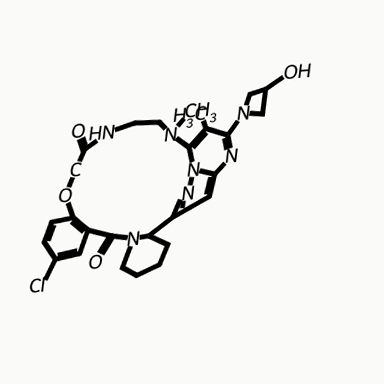 Cc1c(N2CC(O)C2)nc2cc3nn2c1N(C)CCNC(=O)COc1ccc(Cl)cc1C(=O)N1CCCCC31